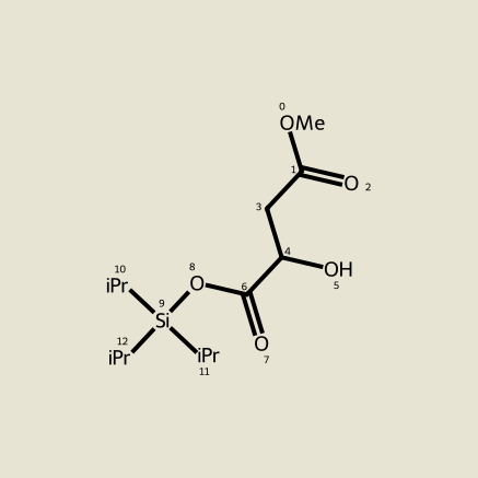 COC(=O)CC(O)C(=O)O[Si](C(C)C)(C(C)C)C(C)C